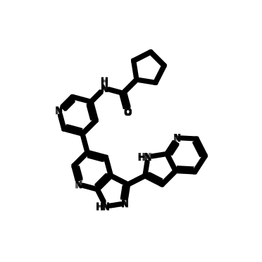 O=C(Nc1cncc(-c2cnc3[nH]nc(-c4cc5cccnc5[nH]4)c3c2)c1)C1CCCC1